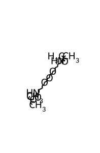 CCC(CC)OCC(=O)NCCCCCOCCOCCOCCCCCNC(=O)C(C)C